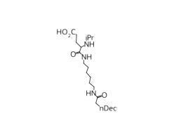 CCCCCCCCCCCC(=O)NCCCCCCNC(=O)C(CCC(=O)O)NC(C)C